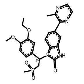 CCOc1cc([C@H](CS(C)(=O)=O)n2c(=O)[nH]c3cc(-c4nccnc4C)ccc32)ccc1OC